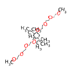 COCCOCCOCCOc1cc(C(C)(C)C)c(OCCOCCOCCOC)cc1C(C)(C)C